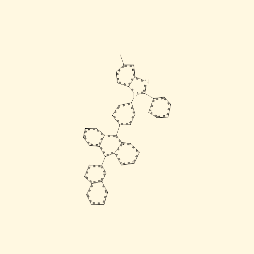 Cc1ccc2c(c1)nc(-c1ccccc1)n2-c1ccc(-c2c3ccccc3c(-c3ccc4ccccc4c3)c3ccccc23)cc1